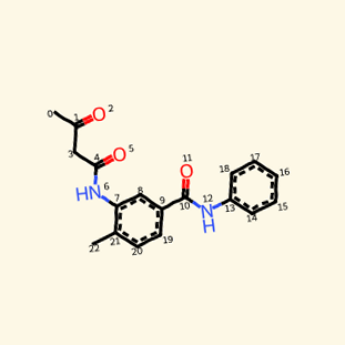 CC(=O)CC(=O)Nc1cc(C(=O)Nc2ccccc2)ccc1C